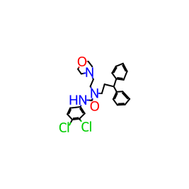 O=C(Nc1ccc(Cl)c(Cl)c1)N(CCC(c1ccccc1)c1ccccc1)CCN1CCOCC1